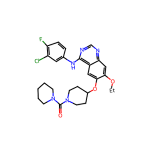 CCOc1cc2ncnc(Nc3ccc(F)c(Cl)c3)c2cc1OC1CCN(C(=O)N2CCCCC2)CC1